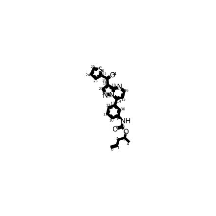 C=CCC(C)OC(=O)Nc1cccc(-c2ccnc3c(C(=O)c4cccs4)cnn23)c1